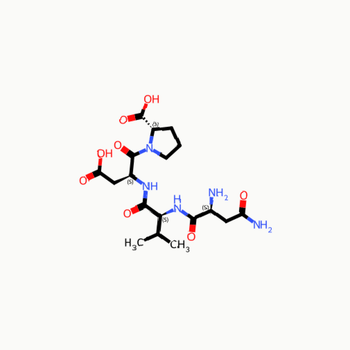 CC(C)[C@H](NC(=O)[C@@H](N)CC(N)=O)C(=O)N[C@@H](CC(=O)O)C(=O)N1CCC[C@H]1C(=O)O